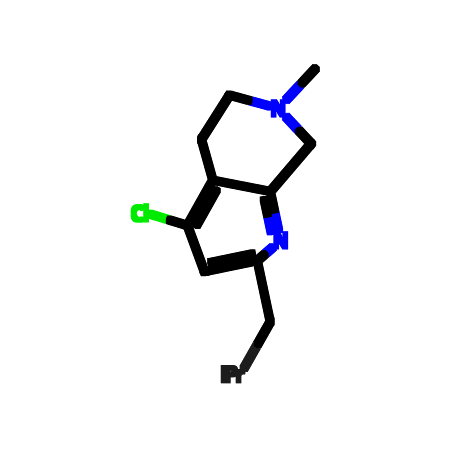 CC(C)Cc1cc(Cl)c2c(n1)CN(C)CC2